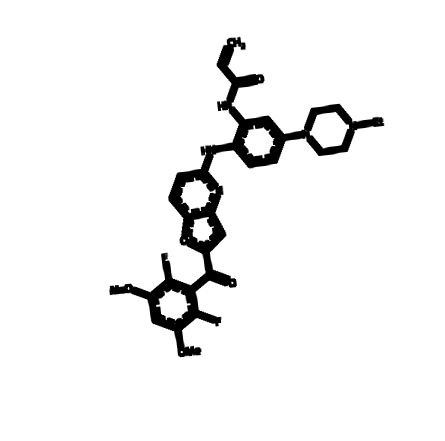 C=CC(=O)Nc1cc(N2CCN(CC)CC2)ccc1Nc1ccc2oc(C(=O)c3c(F)c(OC)cc(OC)c3F)cc2n1